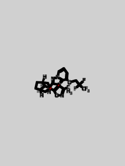 Cc1cc(N2C[C@H]3CC[C@@H](C2)C3Nc2nc3c(OCC(F)(F)C(F)(F)F)cccn3n2)on1